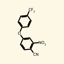 N#Cc1ccc(Oc2ccc(C(F)(F)F)cc2)cc1[N+](=O)[O-]